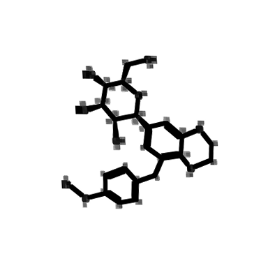 CCOc1ccc(Cc2cc([C@@H]3O[C@H](CO)[C@H](O)[C@H](O)[C@@H]3O)cc3c2OCCO3)cc1